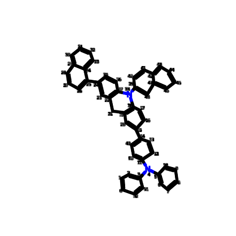 c1ccc(N(c2ccccc2)c2ccc(-c3ccc4c(c3)Cc3cc(-c5cccc6ccccc56)ccc3N4c3ccc4ccccc4c3)cc2)cc1